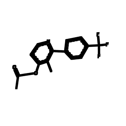 CC(=O)Oc1ccnc(-c2ccc(C(F)(F)F)cc2)c1C